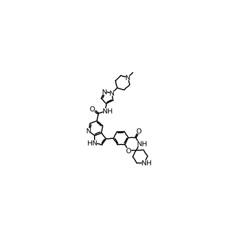 CN1CCC(n2cc(NC(=O)c3cnc4[nH]cc(-c5ccc6c(c5)OC5(CCNCC5)NC6=O)c4c3)cn2)CC1